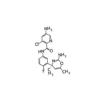 CC1=C[C@@](C)(c2cc(NC(=O)c3ncc(N)cc3Cl)ccc2F)N=C(N)O1